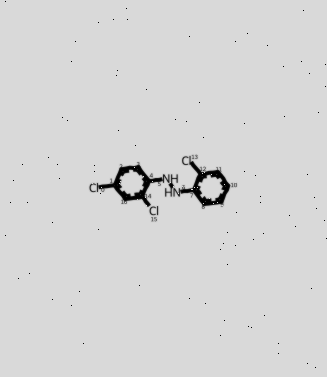 Clc1ccc(NNc2ccccc2Cl)c(Cl)c1